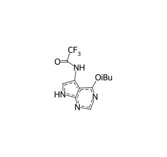 CC(C)COc1ncnc2[nH]cc(NC(=O)C(F)(F)F)c12